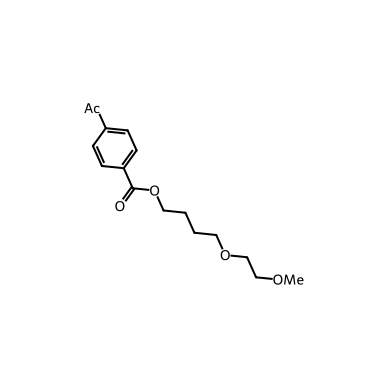 COCCOCCCCOC(=O)c1ccc(C(C)=O)cc1